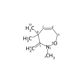 C=C1N(C)OCC=CC1(C)C